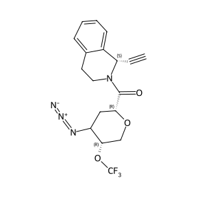 C#C[C@H]1c2ccccc2CCN1C(=O)[C@H]1CC(N=[N+]=[N-])[C@@H](OC(F)(F)F)CO1